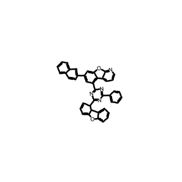 C1=CC(c2nc(-c3ccccc3)nc(-c3cc(-c4ccc5ccccc5c4)cc4oc5ncccc5c34)n2)C2C(=C1)Oc1ccccc12